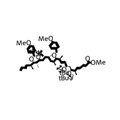 C=CC=C[C@H](C)[C@H](OCc1ccc(OC)cc1)[C@@H](C)C(CC[C@H](C)C[C@H](C)[C@@H](OCc1ccc(OC)cc1)[C@@H](C)C=C[C@H](C[C@H](O[Si](C)(C)C(C)(C)C)[C@H](C)C=CC=CC(=O)OC)O[Si](C)(C)C(C)(C)C)O[Si](C)(C)C(C)(C)C